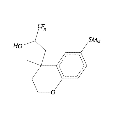 CSc1ccc2c(c1)C(C)(CC(O)C(F)(F)F)CCO2